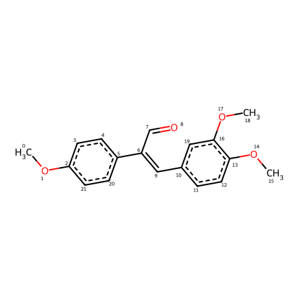 COc1ccc(C(C=O)=Cc2ccc(OC)c(OC)c2)cc1